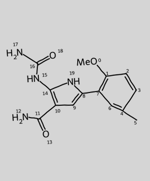 COc1ccc(C)cc1-c1cc(C(N)=O)c(NC(N)=O)[nH]1